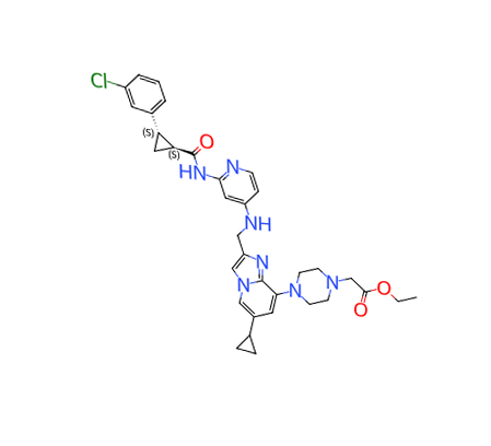 CCOC(=O)CN1CCN(c2cc(C3CC3)cn3cc(CNc4ccnc(NC(=O)[C@H]5C[C@@H]5c5cccc(Cl)c5)c4)nc23)CC1